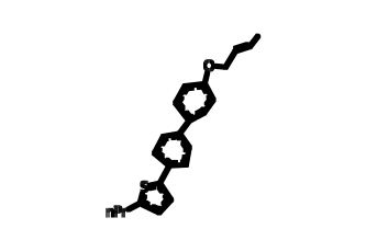 CC=CCOc1ccc(-c2ccc(-c3ccc(CCC)s3)cc2)cc1